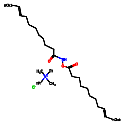 CCCCCCCCC=CCCCCCCCC(=O)NOC(=O)CCCCCCCC=CCCCCCCCC.CCC[N+](C)(C)CC.[Cl-]